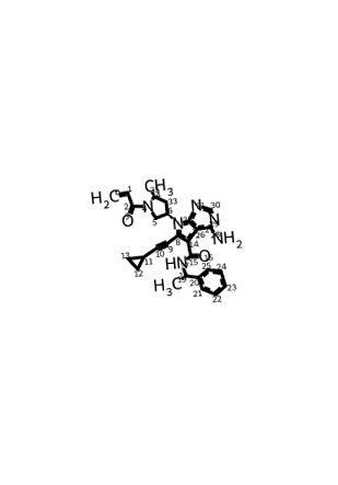 C=CC(=O)N1C[C@H](n2c(C#CC3CC3)c(C(=O)N[C@H](C)c3ccccc3)c3c(N)ncnc32)C[C@@H]1C